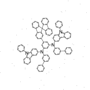 c1ccc(-c2cccc(N(c3cc(-c4ccc5c(c4)C4(c6ccccc6-c6ccccc64)c4ccccc4-5)cc(N(c4cccc(-c5ccccc5)c4)c4ccc5c(c4)c4ccccc4n5-c4ccccc4)c3)c3ccc4c(c3)c3ccccc3n4-c3ccccc3)c2)cc1